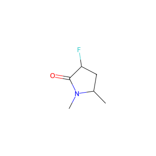 CC1CC(F)C(=O)N1C